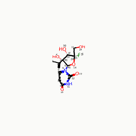 C=C(C)[C@]1(O)[C@H](n2ccc(=O)[nH]c2=O)O[C@](F)(CO)[C@H]1O